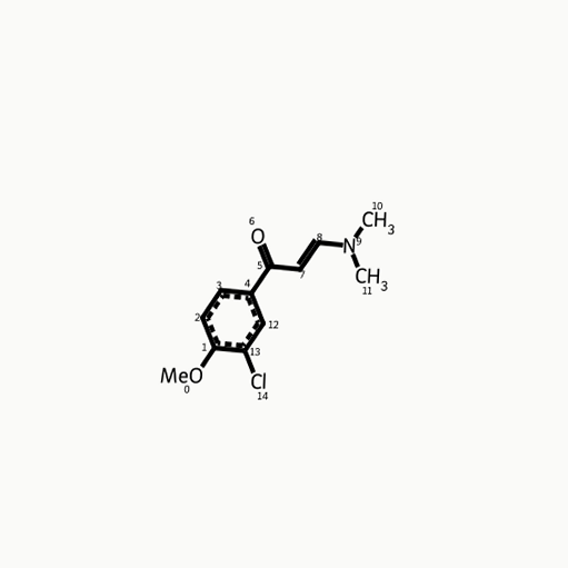 COc1ccc(C(=O)C=CN(C)C)cc1Cl